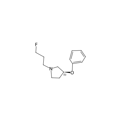 FCCCN1CC[C@H](Oc2ccccc2)C1